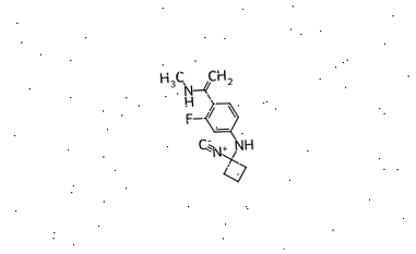 [C-]#[N+]C1(Nc2ccc(C(=C)NC)c(F)c2)CCC1